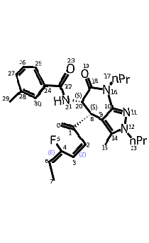 C=C(/C=C\C(F)=C/C)[C@H]1c2c(nn(CCC)c2C)N(CCC)C(=O)[C@H]1NC(=O)c1cccc(C)c1